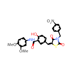 COc1ccc(NC(=O)c2cc(/C=C3/SC(=O)N(Cc4ccc([N+](=O)[O-])cc4)C3=O)ccc2O)cc1OC